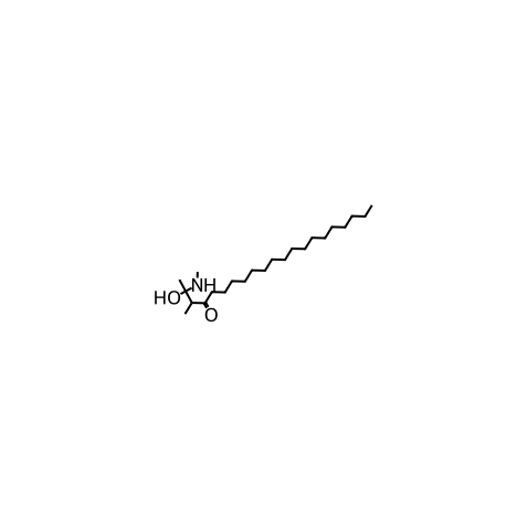 CCCCCCCCCCCCCCCCCC(=O)C(C)C(C)(O)NC